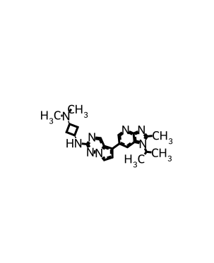 Cc1nc2ncc(-c3ccn4nc(N[C@H]5C[C@@H](N(C)C)C5)ncc34)cc2n1C(C)C